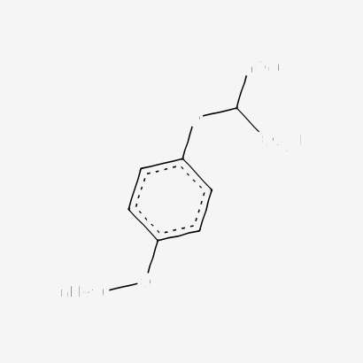 CCCCCCCCC(Oc1ccc(OCCCCCCC)cc1)C(=O)O